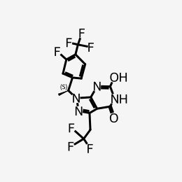 C[C@@H](c1ccc(C(F)(F)F)c(F)c1)n1nc(CC(F)(F)F)c2c(=O)[nH]c(O)nc21